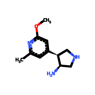 COc1cc([C@@H]2CNC[C@H]2N)cc(C)n1